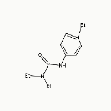 CCc1ccc(NC(=O)N(CC)CC)cc1